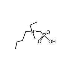 CCCC[N+](C)(CC)CS(=O)(=O)O